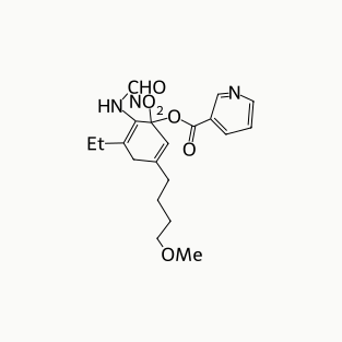 CCC1=C(NC=O)C(OC(=O)c2cccnc2)([N+](=O)[O-])C=C(CCCCOC)C1